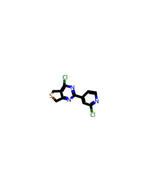 Clc1cc(-c2nc(Cl)c3c(n2)CSC3)ccn1